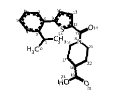 CC(C)c1ccccc1-c1ccc(C(=O)N2CCC(C(=O)O)CC2)s1